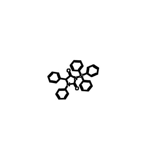 O=C1C(c2ccccc2)N(c2ccccc2)C(=O)N1[Si](c1ccccc1)(c1ccccc1)c1ccccc1